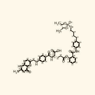 CCOP(=O)(OCC)OCCCCc1ccc(NC(=O)c2ccccc2OC(=O)CC[C@H](NC(=O)c2ccc(NCc3cnc4[nH]c(N)nc(=O)c4n3)cc2)C(=O)O)cc1